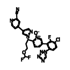 N#Cc1cc(-c2cnn(C(CCOC(F)F)c3ccc(-c4c(-n5cnnn5)ccc(Cl)c4F)c[n+]3[O-])c2)ccn1